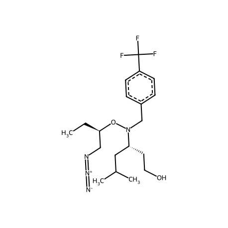 CC[C@H](CN=[N+]=[N-])ON(Cc1ccc(C(F)(F)F)cc1)[C@H](CCO)CC(C)C